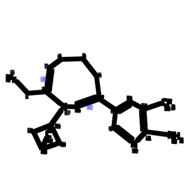 CC(C)C/C1=C/CCC/C(c2cnc(N)c(C(F)(F)F)c2)=C\N1C12CC(C1)C2